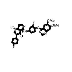 CCn1cc(-c2ccc(F)cc2)c(=O)c2c(Nc3ccc(Oc4ncnc5cc(OC)c(OC)cc45)c(F)c3)nccc21